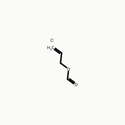 C=CCOC=O.[C]